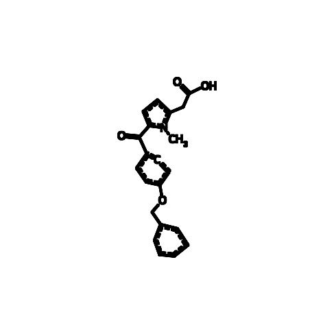 Cn1c(CC(=O)O)ccc1C(=O)c1ccc(OCc2ccccc2)cc1